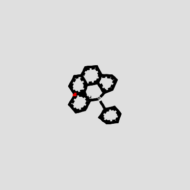 Sc1cccc2ccc3cccc(P(c4ccccc4)c4ccccc4)c3c12